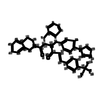 O=C([C@H](Cc1ccccc1)N(Cc1ccc(-n2ccnn2)cc1)C(=O)C=Cc1ccc(C(F)(F)F)cc1)N1CCc2ccccc2C1